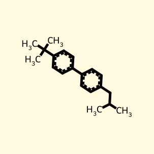 CC(C)Cc1ccc(-c2ccc(C(C)(C)C)cc2)cc1